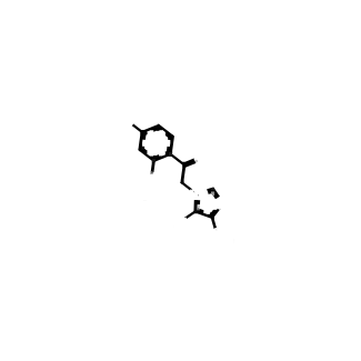 Cc1sc[n+](CC(=O)c2ccc(F)cc2F)c1C.[Br-]